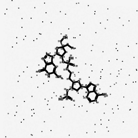 Nc1nc2c(nnn2[C@@H]2O[C@@](CO)(CF)C[C@H]2OP(O)(=S)OCC[C@H]2O[C@@H](c3cnc4c(N)ncnn34)C[C@@H]2O[PH](O)=S)c(=O)[nH]1